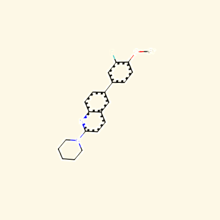 CC(C)Oc1ccc(-c2ccc3nc(N4CCCCC4)ccc3c2)cc1F